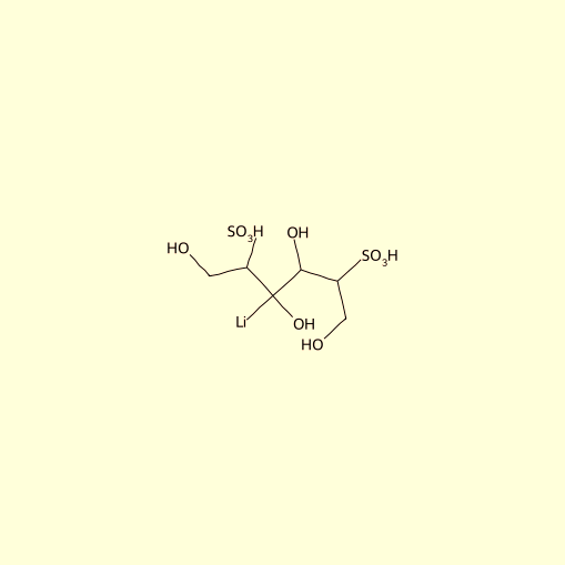 [Li][C](O)(C(O)C(CO)S(=O)(=O)O)C(CO)S(=O)(=O)O